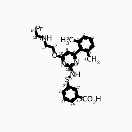 Cc1cccc(C)c1-c1cc(OCCNCC(C)C)nc(NSc2cccc(C(=O)O)c2)n1